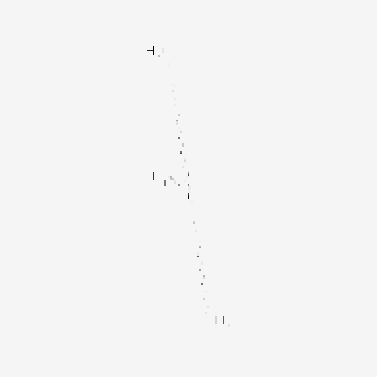 CCCCCCCCCCCCCCCCCCCC(CCCCCCCCCCCCCCCCCC)NC